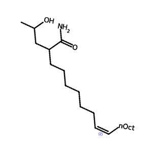 CCCCCCCC/C=C\CCCCCCC(CC(C)O)C(N)=O